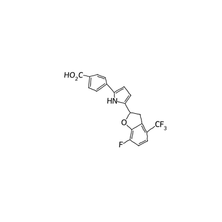 O=C(O)c1ccc(-c2ccc(C3Cc4c(C(F)(F)F)ccc(F)c4O3)[nH]2)cc1